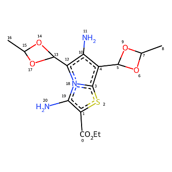 CCOC(=O)c1sc2c(C3OC(C)O3)c(N)c(C3OC(C)O3)n2c1N